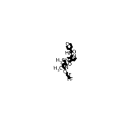 Cc1cc(C(C)N2Cc3c(ccnc3NC(=O)C3CCOCC3)C2=O)cnc1OCCC(F)(F)F